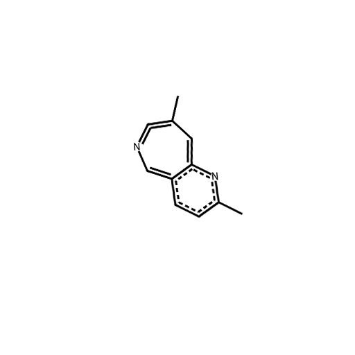 CC1=C=NC=c2ccc(C)nc2=C1